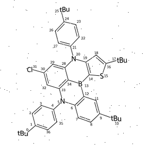 CC(C)(C)c1ccc(N2c3ccc(C(C)(C)C)cc3B3c4sc(C(C)(C)C)cc4N(c4ccc(C(C)(C)C)cc4)c4cc(Cl)cc2c43)cc1